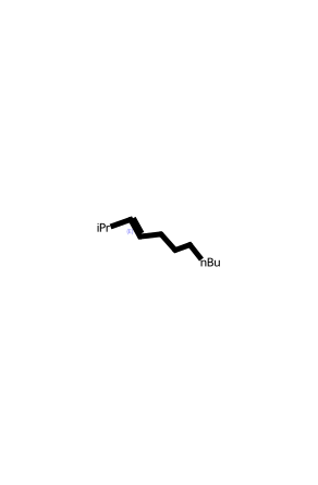 [CH2]CCCCCC/C=C/C(C)C